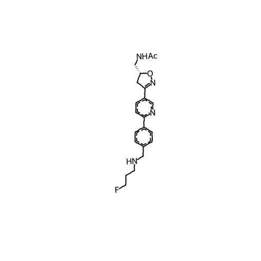 CC(=O)NC[C@H]1CC(c2ccc(-c3ccc(CNCCCF)cc3)nc2)=NO1